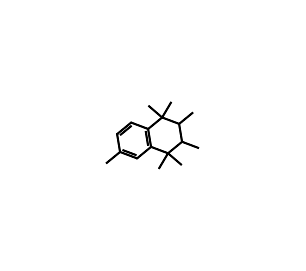 Cc1ccc2c(c1)C(C)(C)C(C)C(C)C2(C)C